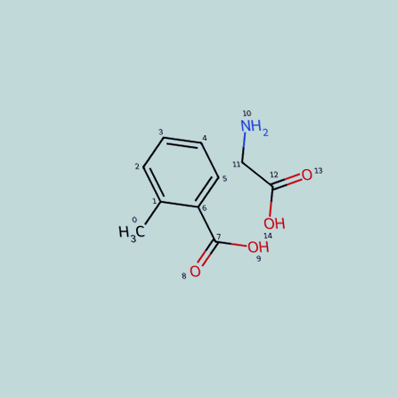 Cc1ccccc1C(=O)O.NCC(=O)O